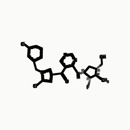 C[C@@H]1[C@@H](CO)C[C@@H](Nc2ncncc2C(=O)c2cc(Cl)n(Cc3cccc(Cl)c3)c2)[C@H]1F